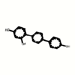 Oc1ccc(-c2ccc(-c3ccc(O)cc3O)cc2)cc1